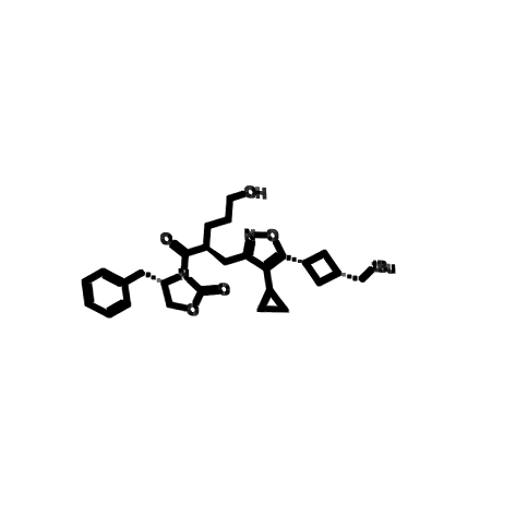 CC(C)(C)C[C@H]1C[C@@H](c2onc(C[C@H](CCCO)C(=O)N3C(=O)OC[C@@H]3Cc3ccccc3)c2C2CC2)C1